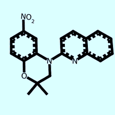 CC1(C)CN(c2ccc3ccccc3n2)c2cc([N+](=O)[O-])ccc2O1